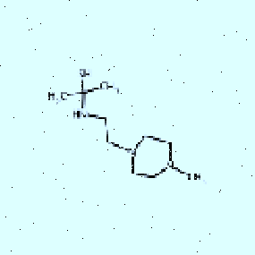 CN1CCN(CCNC(C)(C)S)CC1